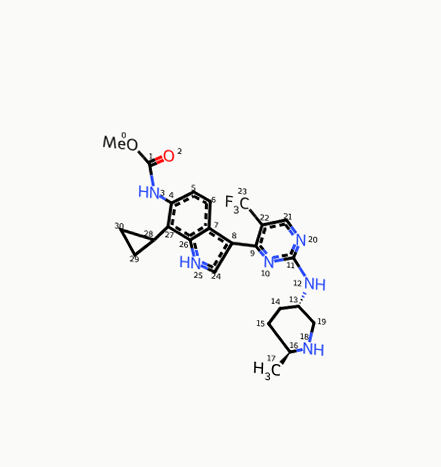 COC(=O)Nc1ccc2c(-c3nc(N[C@H]4CC[C@H](C)NC4)ncc3C(F)(F)F)c[nH]c2c1C1CC1